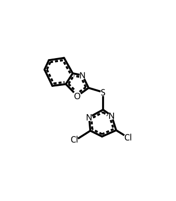 Clc1cc(Cl)nc(Sc2nc3ccccc3o2)n1